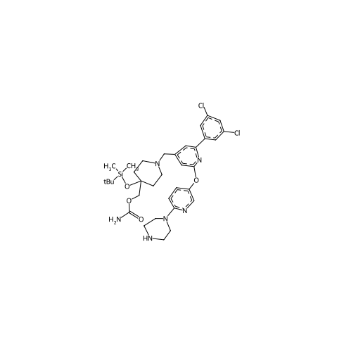 CC(C)(C)[Si](C)(C)OC1(COC(N)=O)CCN(Cc2cc(Oc3ccc(N4CCNCC4)nc3)nc(-c3cc(Cl)cc(Cl)c3)c2)CC1